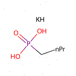 CCCCP(=O)(O)O.[KH]